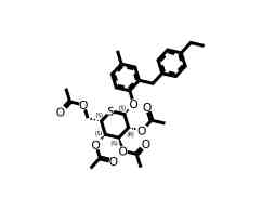 CCc1ccc(Cc2cc(C)ccc2O[C@H]2S[C@@H](COC(C)=O)[C@@H](OC(C)=O)[C@H](OC(C)=O)[C@H]2OC(C)=O)cc1